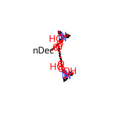 CCCCCCCCCCCCCOCC(COc1ccc(-c2nc(-c3ccc(C)cc3C)nc(-c3ccc(C)cc3C)n2)c(O)c1)OCCCCCCCCCCCCOCC(O)COc1ccc(-c2nc(-c3ccc(C)cc3C)nc(-c3ccc(C)cc3C)n2)c(O)c1